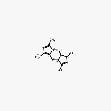 CC1=CC(C)N2Bn3c(C)cc(C)c3C=C12